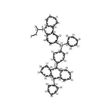 CCC(C)n1c2ccccc2c2cc(N(c3ccccc3)c3ccc(-c4c5ccccc5c(-c5ccccc5)c5ccccc45)cc3)ccc21